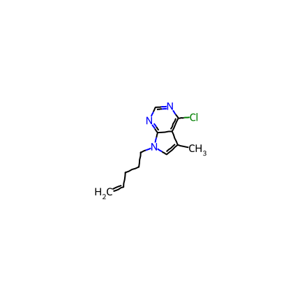 C=CCCCn1cc(C)c2c(Cl)ncnc21